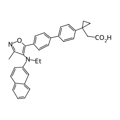 CCN(c1ccc2ccccc2c1)c1c(C)noc1-c1ccc(-c2ccc(C3(CC(=O)O)CC3)cc2)cc1